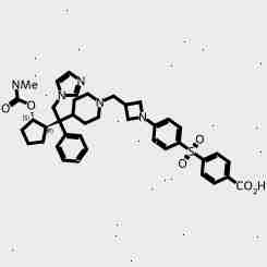 CNC(=O)O[C@H]1CCC[C@@H]1C(Cn1ccnc1)(c1ccccc1)C1CCN(CC2CN(c3ccc(S(=O)(=O)c4ccc(C(=O)O)cc4)cc3)C2)CC1